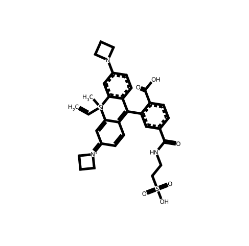 C=C[Si]1(C)C2=CC(=[N+]3CCC3)C=CC2=C(c2cc(C(=O)NCCS(=O)(=O)O)ccc2C(=O)O)c2ccc(N3CCC3)cc21